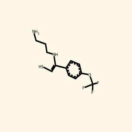 NCCCN/C(=C\S)c1ccc(OC(F)(F)F)cc1